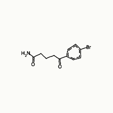 NC(=O)CCCC(=O)c1ccc(Br)cc1